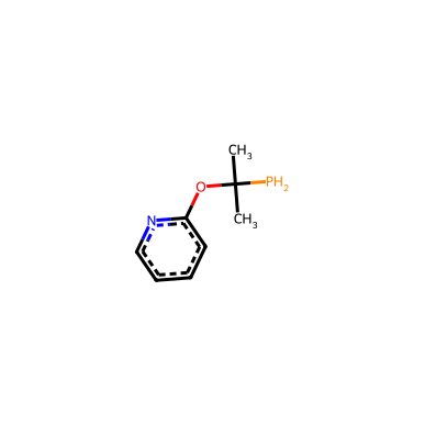 CC(C)(P)Oc1ccccn1